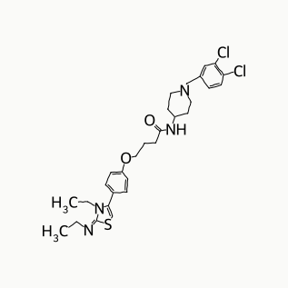 CCN=c1scc(-c2ccc(OCCCC(=O)NC3CCN(Cc4ccc(Cl)c(Cl)c4)CC3)cc2)n1CC